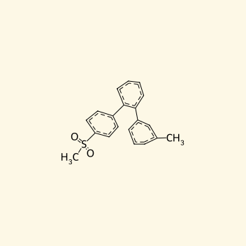 Cc1cccc(-c2ccccc2-c2ccc(S(C)(=O)=O)cc2)c1